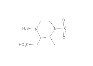 BN1CCN(S(C)(=O)=O)C(C)C1CC(=O)O